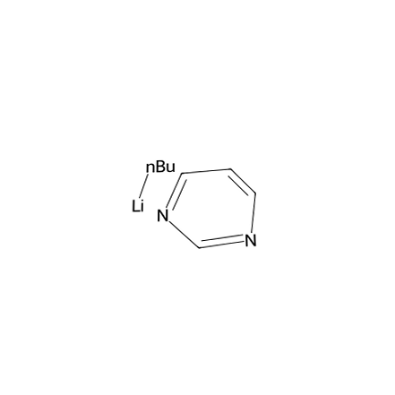 [Li][CH2]CCC.c1cncnc1